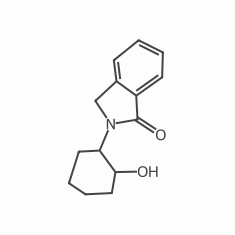 O=C1c2ccccc2CN1C1CCCCC1O